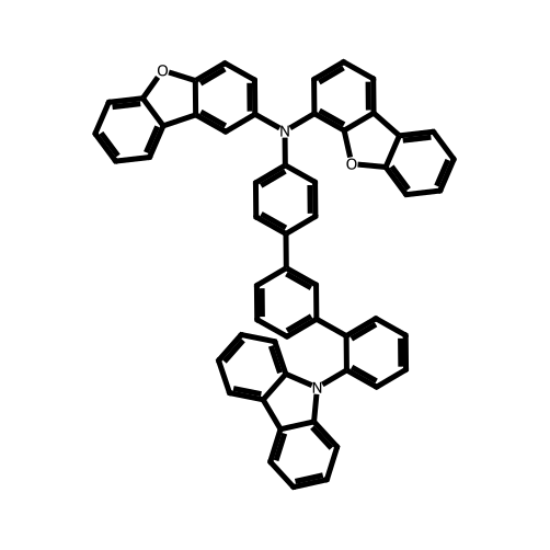 c1cc(-c2ccc(N(c3ccc4oc5ccccc5c4c3)c3cccc4c3oc3ccccc34)cc2)cc(-c2ccccc2-n2c3ccccc3c3ccccc32)c1